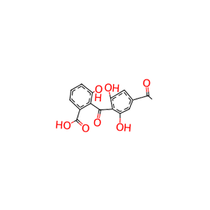 CC(=O)c1cc(O)c(C(=O)c2c(O)cccc2C(=O)O)c(O)c1